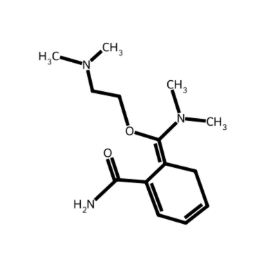 CN(C)CCOC(=C1CC=CC=C1C(N)=O)N(C)C